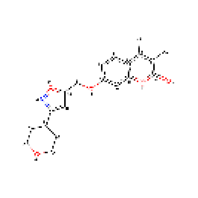 Cc1c(C)c2ccc(OCc3cc(C4CCOCC4)no3)cc2oc1=O